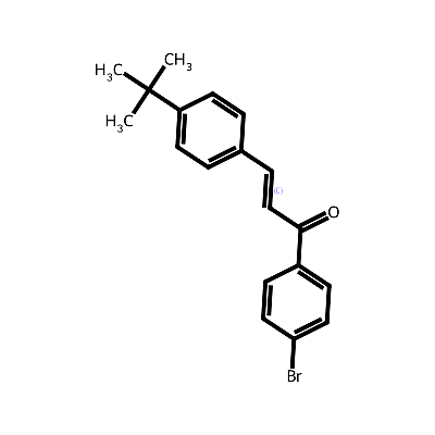 CC(C)(C)c1ccc(/C=C/C(=O)c2ccc(Br)cc2)cc1